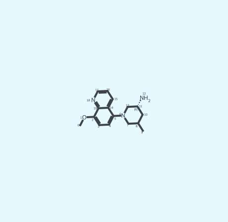 COc1ccc(N2CC(C)C[C@@H](N)C2)c2cccnc12